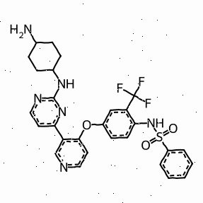 NC1CCC(Nc2nccc(-c3cnccc3Oc3ccc(NS(=O)(=O)c4ccccc4)c(C(F)(F)F)c3)n2)CC1